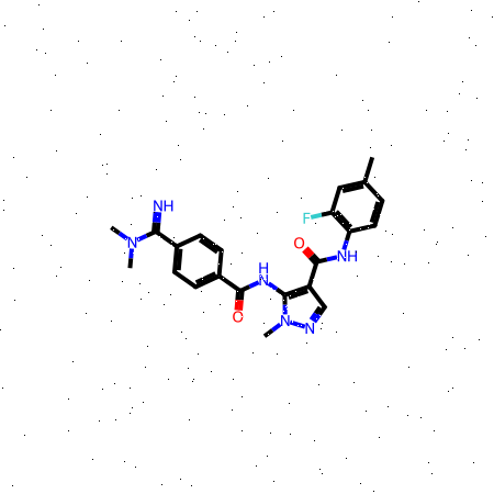 Cc1ccc(NC(=O)c2cnn(C)c2NC(=O)c2ccc(C(=N)N(C)C)cc2)c(F)c1